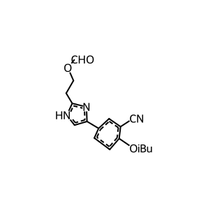 CC(C)COc1ccc(-c2c[nH]c(CCOC=O)n2)cc1C#N